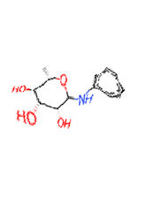 C[C@@H]1OC(Nc2ccccc2)[C@H](O)[C@H](O)[C@H]1O